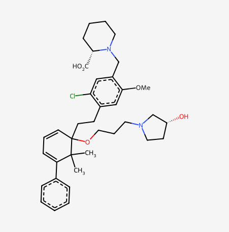 COc1cc(CCC2(OCCCN3CC[C@@H](O)C3)C=CC=C(c3ccccc3)C2(C)C)c(Cl)cc1CN1CCCC[C@H]1C(=O)O